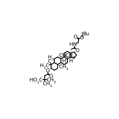 CC(C)(C)OC(=O)CNC(=O)C[C@]12CCC[C@@H]1[C@H]1CCC3[C@@]4(C)CC[C@H](OC(=O)CC(C)(C)C(=O)O)C(C)(C)C4CC[C@@]3(C)[C@]1(C)CC2